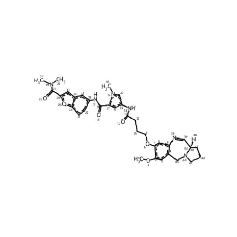 COc1cc2c(cc1OCCCC(=O)Nc1cc(C(=O)Nc3ccc4oc(C(=O)N(C)C)cc4c3)n(C)c1)N=C[C@@H]1CCCN1C2